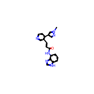 Cn1cc(-c2ccncc2C=CC(=O)Nc2cccc3[nH]cnc23)cn1